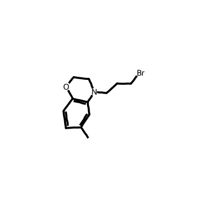 Cc1ccc2c(c1)N(CCCBr)CCO2